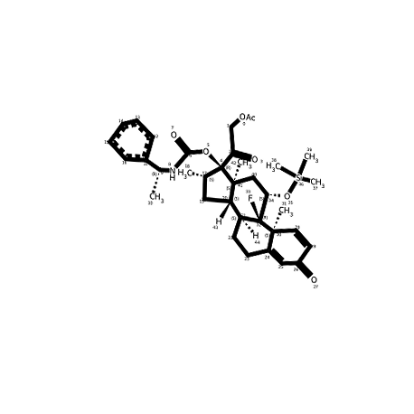 CC(=O)OCC(=O)[C@@]1(OC(=O)N[C@H](C)c2ccccc2)[C@@H](C)C[C@H]2[C@@H]3CCC4=CC(=O)C=C[C@]4(C)[C@@]3(F)[C@@H](O[Si](C)(C)C)C[C@@]21C